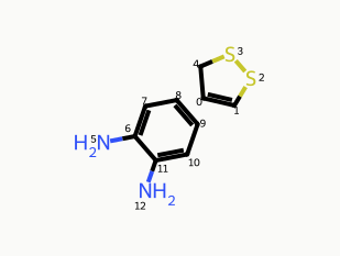 C1=CSSC1.Nc1ccccc1N